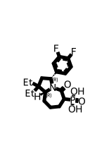 CCC1(CC)C[C@H](c2ccc(F)c(F)c2)N2C(=O)C(P(=O)(O)O)CCC[C@@H]21